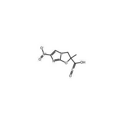 CC1(C(O)=C=O)Cn2cc([N+](=O)[O-])nc2O1